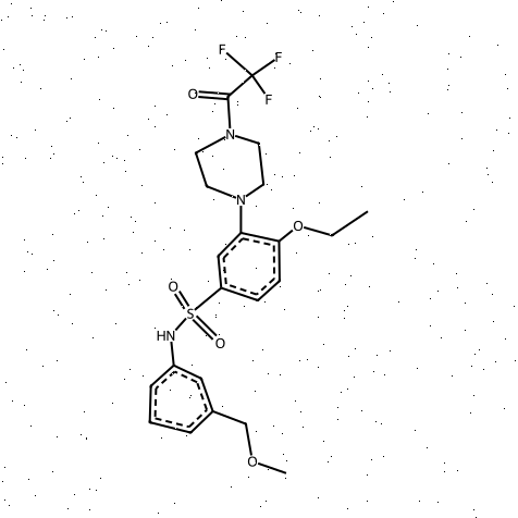 CCOc1ccc(S(=O)(=O)Nc2cccc(COC)c2)cc1N1CCN(C(=O)C(F)(F)F)CC1